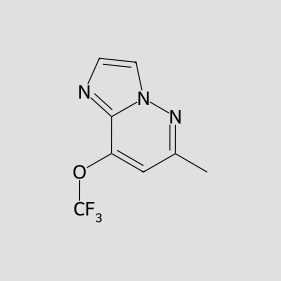 Cc1cc(OC(F)(F)F)c2nccn2n1